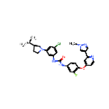 Cn1cc(-c2cc(Oc3ccc(NC(=O)Nc4cc(Cl)cc(N5CCC([As](C)C)C5)c4)cc3F)ccn2)cn1